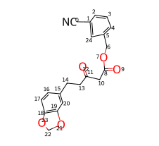 N#Cc1cccc(COC(=O)CC(=O)CCc2ccc3c(c2)OCO3)c1